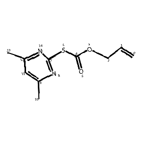 C=CCOC(=O)Sc1nc(C)cc(C)n1